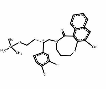 CC(C)(C)[Si](C)(C)OCC[C@H](CN1CCCOc2c(C#N)cc3ccccc3c2C1=O)c1ccc(Cl)c(Cl)c1